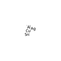 [Ag].[Al].[Cu].[Sn]